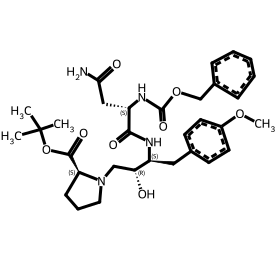 COc1ccc(C[C@H](NC(=O)[C@H](CC(N)=O)NC(=O)OCc2ccccc2)[C@H](O)CN2CCC[C@H]2C(=O)OC(C)(C)C)cc1